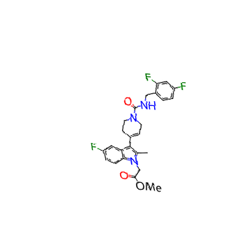 COC(=O)Cn1c(C)c(C2=CCN(C(=O)NCc3ccc(F)cc3F)CC2)c2cc(F)ccc21